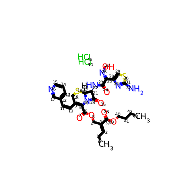 CC/C=C(\COC(=O)C1=C(/C=C\c2cccnc2)CS[C@H]2[C@H](NC(=O)C(=NO)c3csc(N)n3)C(=O)N12)C(=O)OCCCC.Cl.Cl